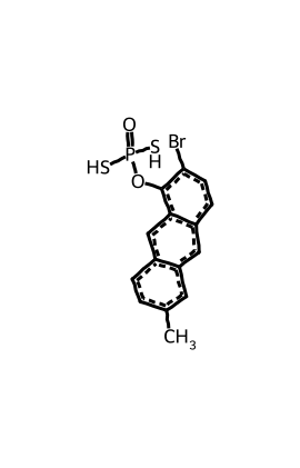 Cc1ccc2cc3c(OP(=O)(S)S)c(Br)ccc3cc2c1